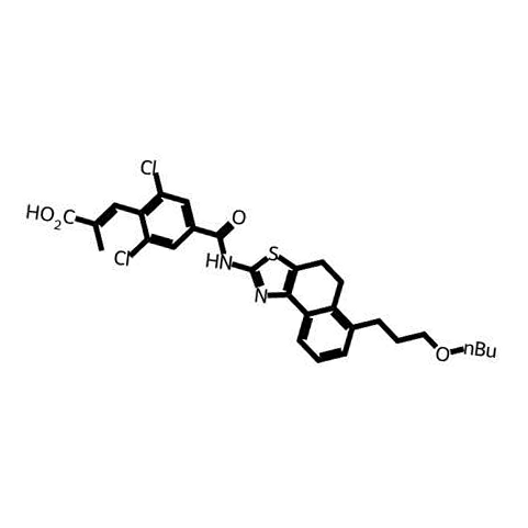 CCCCOCCCc1cccc2c1CCc1sc(NC(=O)c3cc(Cl)c(C=C(C)C(=O)O)c(Cl)c3)nc1-2